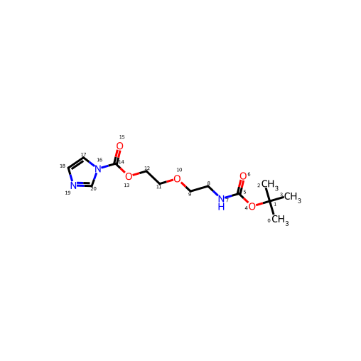 CC(C)(C)OC(=O)NCCOCCOC(=O)n1ccnc1